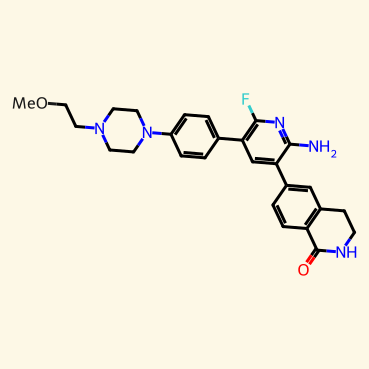 COCCN1CCN(c2ccc(-c3cc(-c4ccc5c(c4)CCNC5=O)c(N)nc3F)cc2)CC1